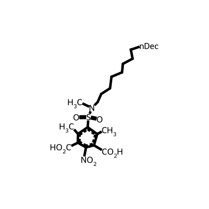 CCCCCCCCCCCCCCCCCCN(C)S(=O)(=O)c1c(C)c(C(=O)O)c([N+](=O)[O-])c(C(=O)O)c1C